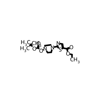 CCOC(=O)c1cnc(N2CCN(OC(=O)OC(C)(C)C)CC2)s1